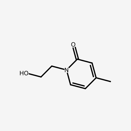 Cc1ccn(CCO)c(=O)c1